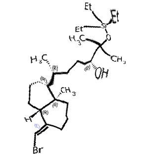 CC[Si](CC)(CC)OC(C)(C)[C@H](O)CC[C@@H](C)[C@H]1CC[C@H]2/C(=C/Br)CCC[C@]12C